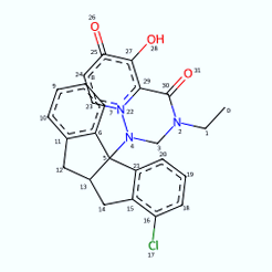 CCN1CN(C23c4ccccc4CC2Cc2c(Cl)cccc23)n2ccc(=O)c(O)c2C1=O